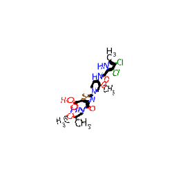 CO[C@H]1CN(c2nc(C(=O)NC[C@H](C)OC)c(C(=O)O)s2)CC[C@H]1NC(=O)c1[nH]c(C)c(Cl)c1Cl